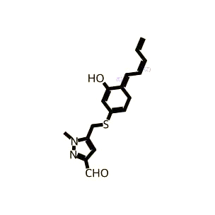 C=C/C=C\C=C1/CC=C(SCc2cc(C=O)nn2C)C=C1O